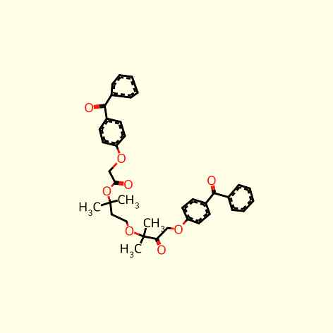 CC(C)(CCOC(C)(C)C(=O)COc1ccc(C(=O)c2ccccc2)cc1)OC(=O)COc1ccc(C(=O)c2ccccc2)cc1